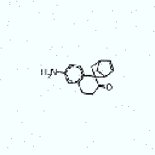 Nc1ccc2c(c1)CCC(=O)C21CC2C=CC1C2